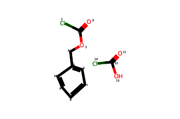 O=C(Cl)OCc1ccccc1.O=C(O)Cl